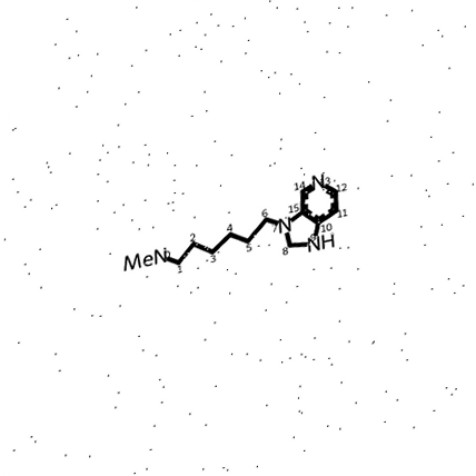 CNCCCCCCN1CNc2ccncc21